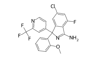 COc1ccccc1C1(c2ccnc(C(F)(F)F)c2)N=C(N)c2c(F)cc(Cl)cc21